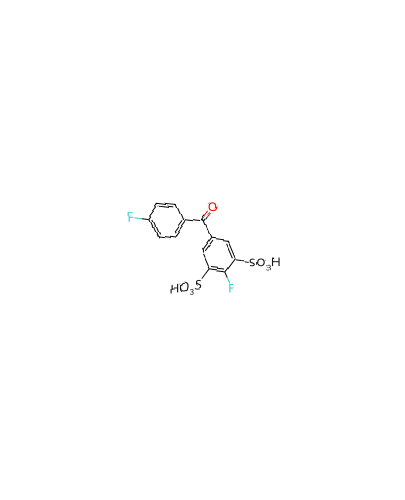 O=C(c1ccc(F)cc1)c1cc(S(=O)(=O)O)c(F)c(S(=O)(=O)O)c1